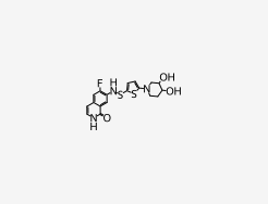 O=c1[nH]ccc2cc(F)c(NSc3ccc(N4CCC(O)C(O)C4)s3)cc12